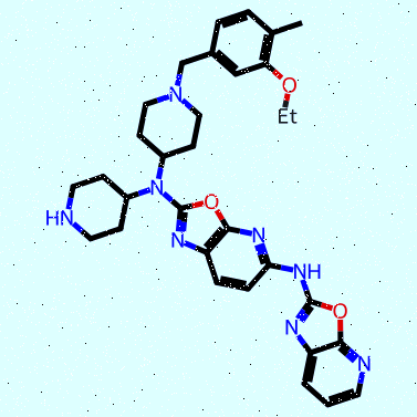 CCOc1cc(CN2CCC(N(c3nc4ccc(Nc5nc6cccnc6o5)nc4o3)C3CCNCC3)CC2)ccc1C